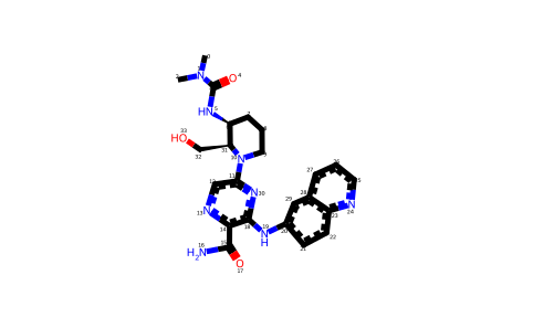 CN(C)C(=O)N[C@H]1CCCN(c2cnc(C(N)=O)c(Nc3ccc4ncccc4c3)n2)[C@H]1CO